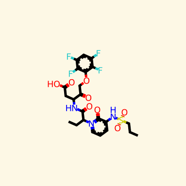 CCCS(=O)(=O)Nc1cccn(C(CC)C(=O)NC(CC(=O)O)C(=O)COc2c(F)c(F)cc(F)c2F)c1=O